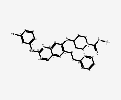 CC(C)(C)OC(=O)N1CCC(Oc2cc3nc(Nc4cccc(F)c4)ncc3cc2CCc2ccccn2)CC1